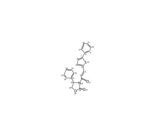 O=C(C=Cc1ccc(-c2ccccc2)s1)N1C(=O)OCC1c1ccccc1